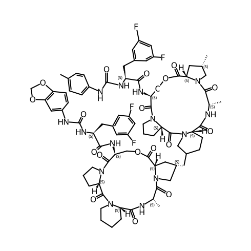 Cc1ccc(NC(=O)N[C@@H](Cc2cc(F)cc(F)c2)C(=O)N[C@H]2COC(=O)[C@@H]3C[C@H](C)CN3C(=O)[C@H](C)NC(=O)[C@@H]3CCC(C[C@H]4C[C@H]5C(=O)OC[C@H](NC(=O)[C@H](Cc6cc(F)cc(F)c6)NC(=O)Nc6ccc7c(c6)OCO7)C(=O)N6CCC[C@H]6C(=O)N6CCCC[C@H]6C(=O)N[C@@H](C)C(=O)N5C4)CN3C(=O)[C@@H]3CCCN3C2=O)cc1